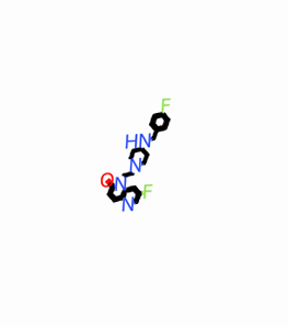 O=c1ccc2ncc(F)cc2n1CCN1CCC(NCc2ccc(F)cc2)CC1